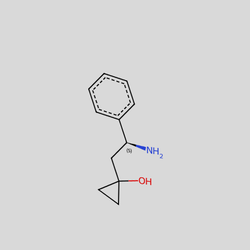 N[C@@H](CC1(O)CC1)c1ccccc1